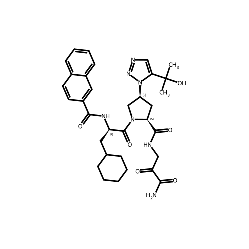 CC(C)(O)c1cnnn1[C@H]1C[C@@H](C(=O)NCC(=O)C(N)=O)N(C(=O)[C@@H](CC2CCCCC2)NC(=O)c2ccc3ccccc3c2)C1